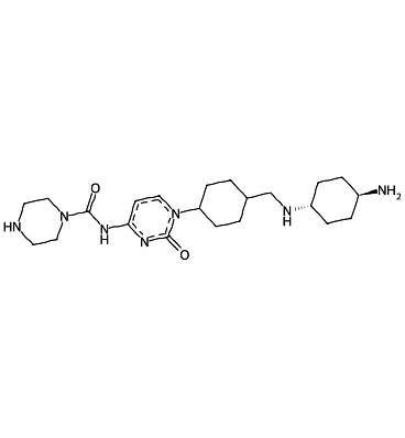 N[C@H]1CC[C@H](NCC2CCC(n3ccc(NC(=O)N4CCNCC4)nc3=O)CC2)CC1